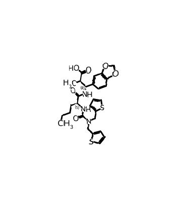 CCCC[C@H](NC(=O)N(Cc1cccs1)Cc1cccs1)C(=O)N[C@@H](c1ccc2c(c1)OCO2)C(C)C(=O)O